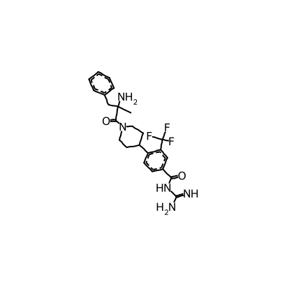 CC(N)(Cc1ccccc1)C(=O)N1CCC(c2ccc(C(=O)NC(=N)N)cc2C(F)(F)F)CC1